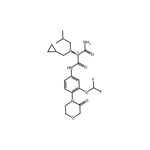 CC(C)CN(CC1CC1)[C@@H](C(N)=O)C(=O)Nc1ccc(N2CCOCC2=O)c(OC(F)F)c1